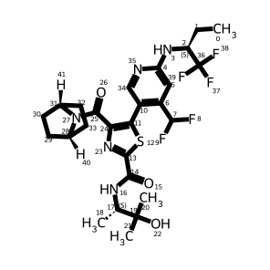 CC[C@H](Nc1cc(C(F)F)c(-c2sc(C(=O)N[C@@H](C)C(C)(C)O)nc2C(=O)N2[C@H]3CC[C@@H]2CC3)cn1)C(F)(F)F